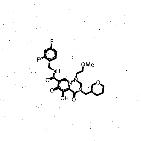 COCCN1CN(CC2CCCOC2)C(=O)c2c(O)c(=O)c(C(=O)NCc3ccc(F)cc3F)cn21